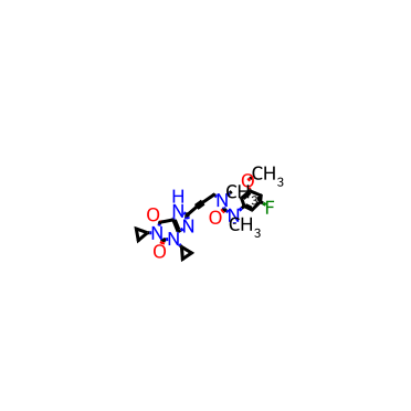 COc1cc(F)cc(N(C)C(=O)N(C)CC#Cc2nc3c([nH]2)c(=O)n(C2CC2)c(=O)n3C2CC2)c1